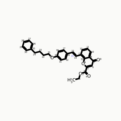 CCOC(=O)c1cc(=O)c2cccc(/C=C/c3ccc(OCCCCc4ccccc4)cc3)c2o1